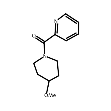 COC1CCN(C(=O)c2[c]cccn2)CC1